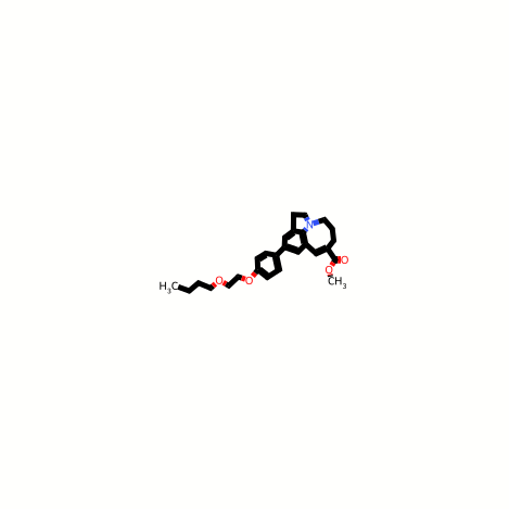 CCCCOCCOc1ccc(-c2cc3c4c(c2)CCN4CCC/C(C(=O)OC)=C\3)cc1